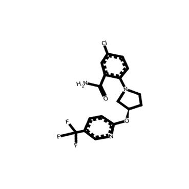 NC(=O)c1cc(Cl)ccc1N1CC[C@@H](Oc2ccc(C(F)(F)F)cn2)C1